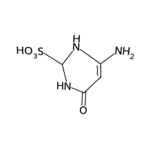 NC1=CC(=O)NC(S(=O)(=O)O)N1